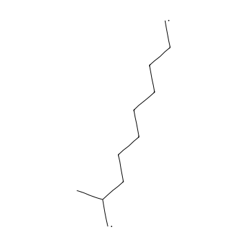 [CH2]CCCCCCCC([CH2])C